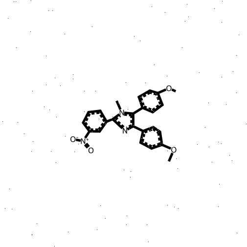 COc1ccc(-c2nc(-c3cccc([N+](=O)[O-])c3)n(C)c2-c2ccc(OC)cc2)cc1